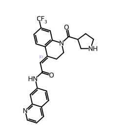 O=C(/C=C1\CCN(C(=O)C2CCNC2)c2cc(C(F)(F)F)ccc21)Nc1ccc2cccnc2c1